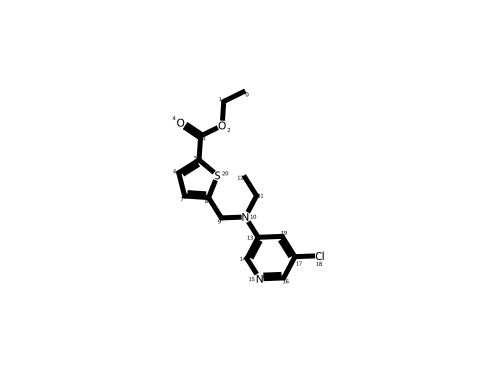 CCOC(=O)c1ccc(CN(CC)c2cncc(Cl)c2)s1